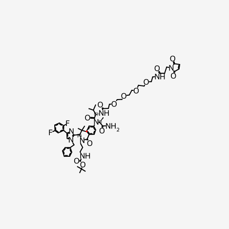 CC(C)[C@H](NC(=O)CCOCCOCCOCCOCCNC(=O)CCN1C(=O)C=CC1=O)C(=O)N(c1ccc(C(=O)N(CCCNC(=O)OC(C)(C)C)[C@@H](c2nc(-c3cc(F)ccc3F)cn2Cc2ccccc2)C(C)(C)C)cc1)[C@@H](C)C(N)=O